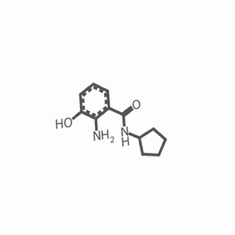 Nc1c(O)cccc1C(=O)NC1CCCC1